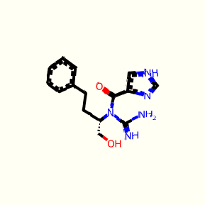 N=C(N)N(C(=O)c1c[nH]cn1)[C@H](CO)CCc1ccccc1